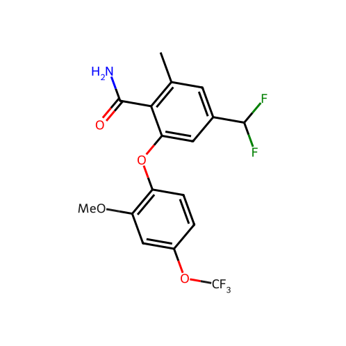 COc1cc(OC(F)(F)F)ccc1Oc1cc(C(F)F)cc(C)c1C(N)=O